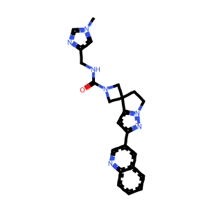 Cn1cnc(CNC(=O)N2CC3(CCn4nc(-c5cnc6ccccc6c5)cc43)C2)c1